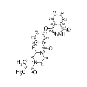 CC(C)C(=O)N1CCN(C(=O)c2cc(Oc3n[nH]c(=O)c4ccccc34)ccc2F)CC1